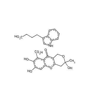 CC1(O)Cc2oc3cc(O)c(O)c(C(=O)O)c3c(=O)c2CO1.O=C(O)CCCc1c[nH]c2ccccc12